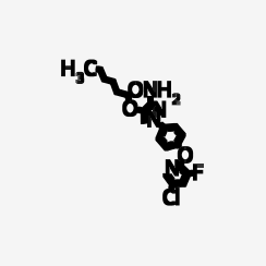 CCCCCC(=O)Oc1cn(-c2ccc(Oc3ncc(Cl)cc3F)cc2)nc1N